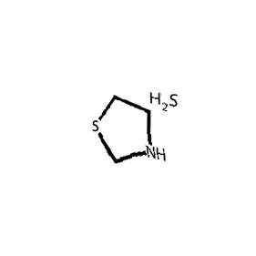 C1CSCN1.S